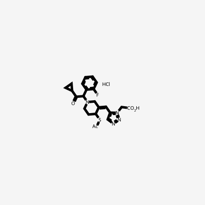 CC(=O)SC1CCN(C(C(=O)C2CC2)c2ccccc2F)C/C1=C/c1cnnn1CC(=O)O.Cl